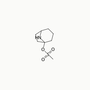 CS(=O)(=O)OC12CCCC(CC1)N2